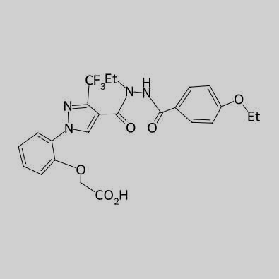 CCOc1ccc(C(=O)NN(CC)C(=O)c2cn(-c3ccccc3OCC(=O)O)nc2C(F)(F)F)cc1